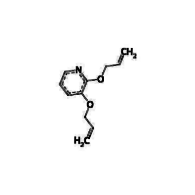 C=CCOc1cccnc1OCC=C